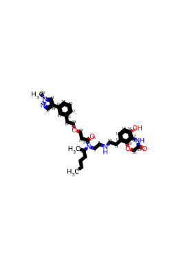 CCCCC(C)N(CCNCCc1ccc(O)c2c1OCC(=O)N2)C(=O)CCOCCc1cccc(-c2cnn(C)c2)c1